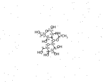 CC(=O)N[C@H]1[C@@H](O[C@@H]2O[C@H](CO)[C@H](O)[C@H](O)[C@H]2O)[C@@H](O)[C@@H](CO)O[C@@H]1O